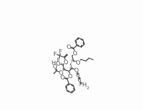 C=C(O[C@H](O)[C@H](OC(C)=O)C(OC(=O)c1ccccc1)[C@@H](C[C@H](COC(=O)c1ccccc1)OCCCC)OB=BP)C(F)(F)F